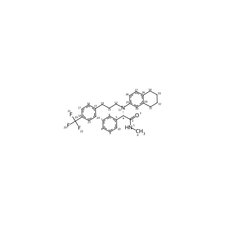 CNC(=O)[C@H](c1ccccc1)N(CCCc1ccc(C(F)(F)F)cc1)c1ccc2c(c1)CCCC2